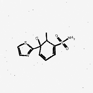 CC1C(S(N)(=O)=O)=CC=CC1(Cl)c1nccs1